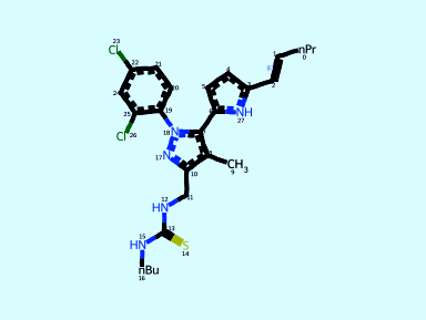 CCC/C=C/c1ccc(-c2c(C)c(CNC(=S)NCCCC)nn2-c2ccc(Cl)cc2Cl)[nH]1